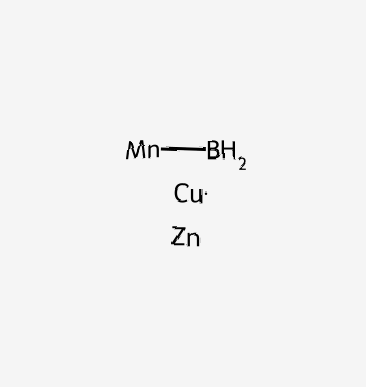 [BH2][Mn].[Cu].[Zn]